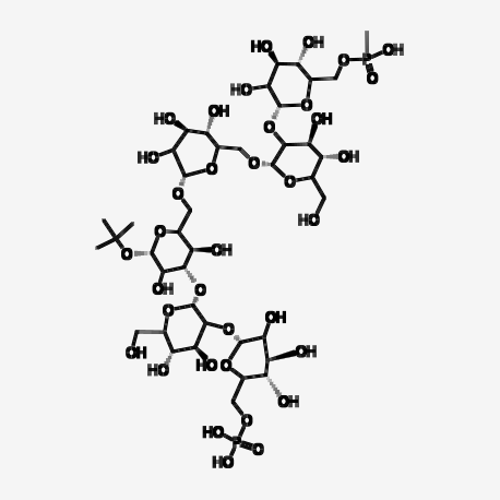 CC(C)(C)O[C@@H]1OC(CO[C@H]2OC(CO[C@H]3OC(CO)[C@@H](O)[C@H](O)C3O[C@H]3OC(COP(C)(=O)O)[C@@H](O)[C@H](O)C3O)[C@@H](O)[C@H](O)C2O)[C@@H](O)[C@H](O[C@H]2OC(CO)[C@@H](O)[C@H](O)C2O[C@H]2OC(COP(=O)(O)O)[C@@H](O)[C@H](O)C2O)C1O